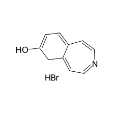 Br.OC1=CC=C2C=CN=CC=C2C1